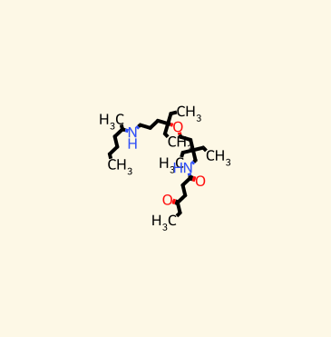 CCCCC(C)NCCCC(CC)(CC)OCCC(CC)(CC)CNC(=O)CCC(=O)CC